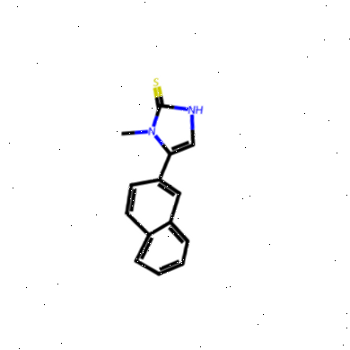 Cn1c(-c2ccc3ccccc3c2)c[nH]c1=S